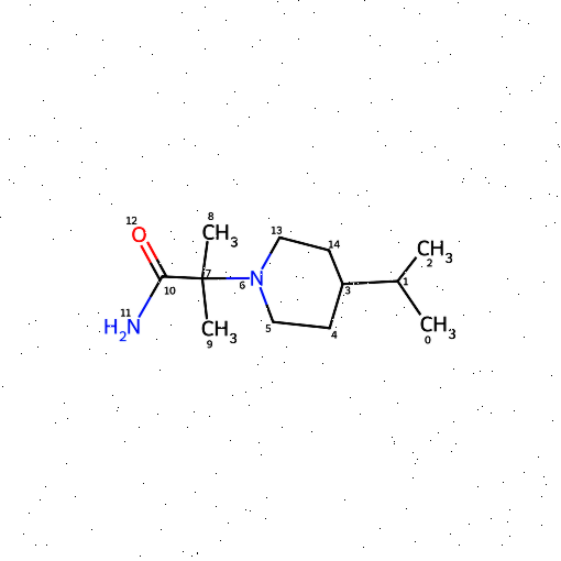 CC(C)C1CCN(C(C)(C)C(N)=O)CC1